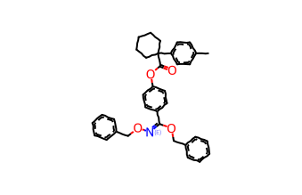 Cc1ccc(C2(C(=O)Oc3ccc(/C(=N\OCc4ccccc4)OCc4ccccc4)cc3)CCCCC2)cc1